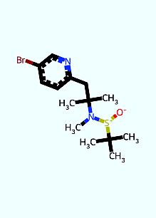 CN([S+]([O-])C(C)(C)C)C(C)(C)Cc1ccc(Br)cn1